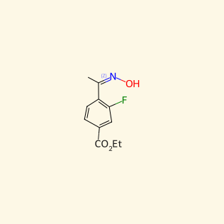 CCOC(=O)c1ccc(/C(C)=N\O)c(F)c1